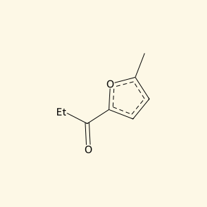 CCC(=O)c1ccc(C)o1